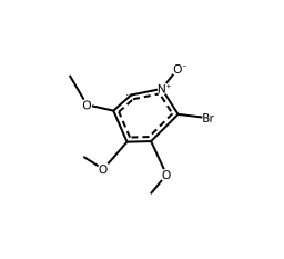 COc1[c][n+]([O-])c(Br)c(OC)c1OC